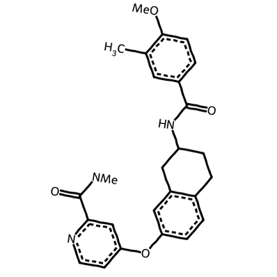 CNC(=O)c1cc(Oc2ccc3c(c2)CC(NC(=O)c2ccc(OC)c(C)c2)CC3)ccn1